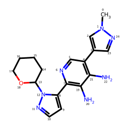 Cn1cc(-c2cnc(-c3ccnn3C3CCCCO3)c(N)c2N)cn1